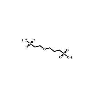 O=S(=O)(O)CCCOCCS(=O)(=O)O